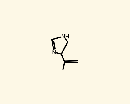 C=C(C)C1CNC=N1